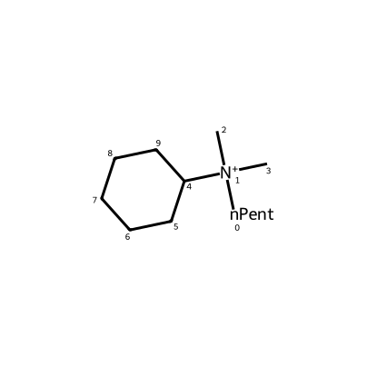 CCCCC[N+](C)(C)C1CCCCC1